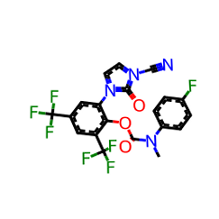 CN(C(=O)Oc1c(-n2ccn(C#N)c2=O)cc(C(F)(F)F)cc1C(F)(F)F)c1ccc(F)cc1